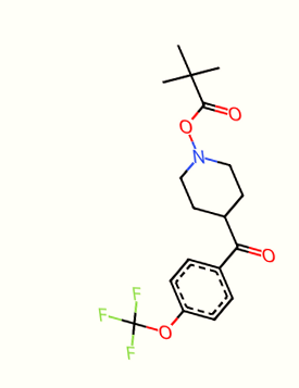 CC(C)(C)C(=O)ON1CCC(C(=O)c2ccc(OC(F)(F)F)cc2)CC1